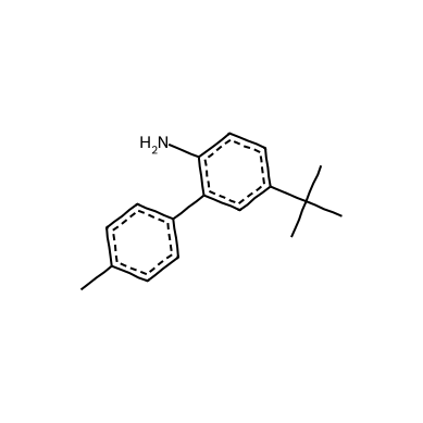 Cc1ccc(-c2cc(C(C)(C)C)ccc2N)cc1